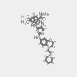 CNC(=O)[C@H]1C[C@H]2C[C@H](C2(C)C)[C@@]1(C)Nc1nc(Nc2ccc3c(c2)OCCN3CCN2CCCCC2)ncc1F